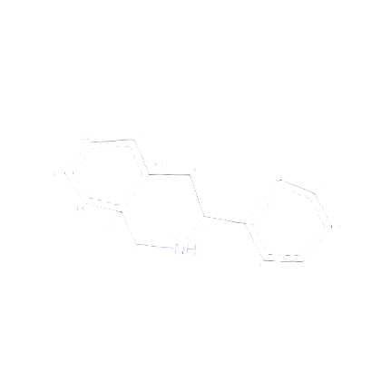 [CH]1NC(c2ccccc2)Cc2ccccc21